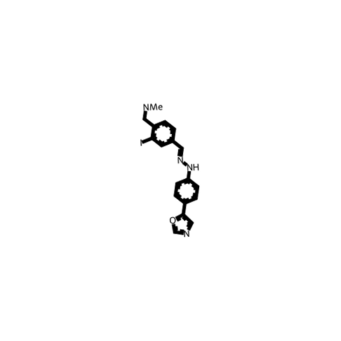 CNCc1ccc(C=NNc2ccc(-c3cnco3)cc2)cc1I